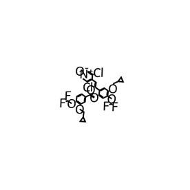 O=C(OC(=Cc1c(Cl)c[n+]([O-])cc1Cl)c1ccc(OC(F)F)c(OCC2CC2)c1)c1ccc(OC(F)F)c(OCC2CC2)c1